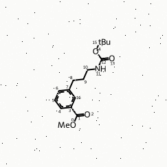 COC(=O)c1cccc(CCCNC(=O)OC(C)(C)C)c1